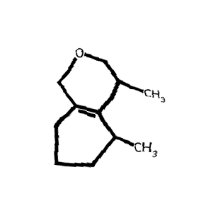 CC1CCCC2=C1C(C)COC2